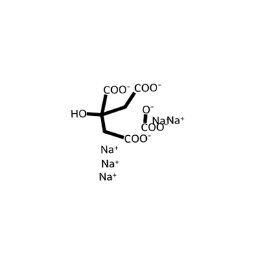 O=C([O-])CC(O)(CC(=O)[O-])C(=O)[O-].O=C([O-])[O-].[Na+].[Na+].[Na+].[Na+].[Na+]